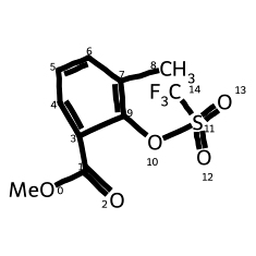 COC(=O)c1cccc(C)c1OS(=O)(=O)C(F)(F)F